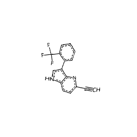 C#Cc1ccc2[nH]cc(-c3ccccc3C(F)(F)F)c2n1